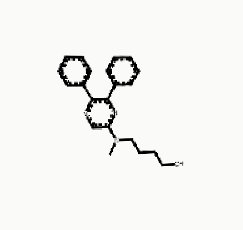 CN(CCCCO)c1cnc(-c2ccccc2)c(-c2ccccc2)n1